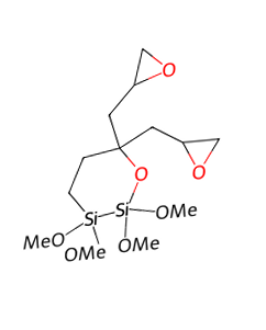 CO[Si]1(OC)CCC(CC2CO2)(CC2CO2)O[Si]1(OC)OC